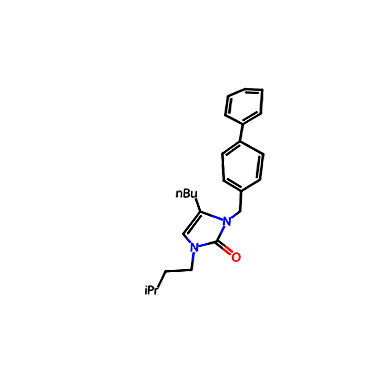 CCCCc1cn(CCC(C)C)c(=O)n1Cc1ccc(-c2ccccc2)cc1